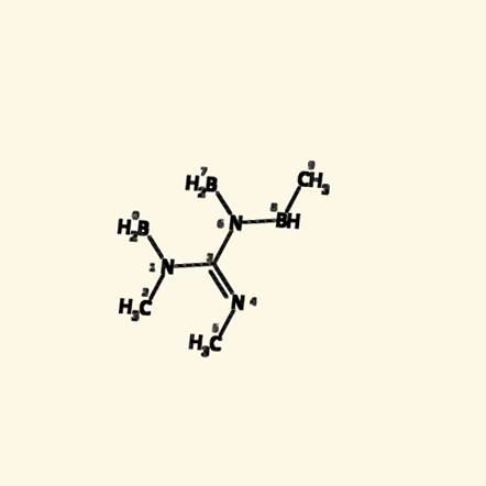 BN(C)/C(=N\C)N(B)BC